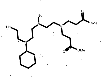 CCC(C)N(CCN(CCC(=O)OC)CCC(=O)OC)CCN(CCN)C1CCCCC1